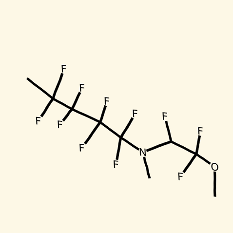 COC(F)(F)C(F)N(C)C(F)(F)C(F)(F)C(F)(F)C(C)(F)F